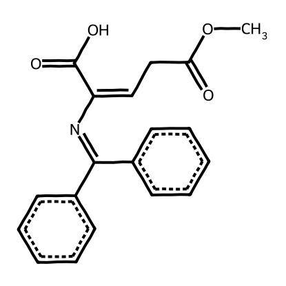 COC(=O)CC=C(N=C(c1ccccc1)c1ccccc1)C(=O)O